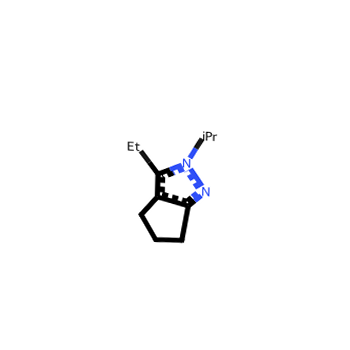 CCc1c2c(nn1C(C)C)CCC2